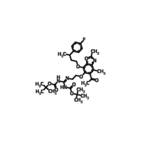 CC(=O)c1c(OCCN=C(NC(=O)OC(C)(C)C)NC(=O)OC(C)(C)C)c(OCCC(C)c2ccc(F)cc2)c2oc(C)nc2c1C